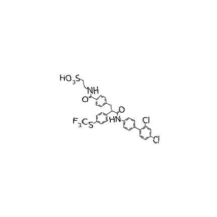 O=C(NCCS(=O)(=O)O)c1ccc(CC(C(=O)Nc2ccc(-c3ccc(Cl)cc3Cl)cc2)c2ccc(SC(F)(F)F)cc2)cc1